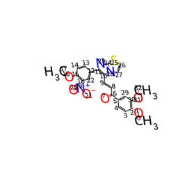 COc1ccc(C(=O)/C=C/c2c(-c3ccc(OC)c([N+](=O)[O-])c3)nc3sccn23)cc1OC